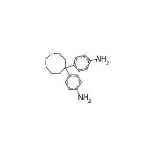 Nc1ccc(C2(c3ccc(N)cc3)CCCCCCC2)cc1